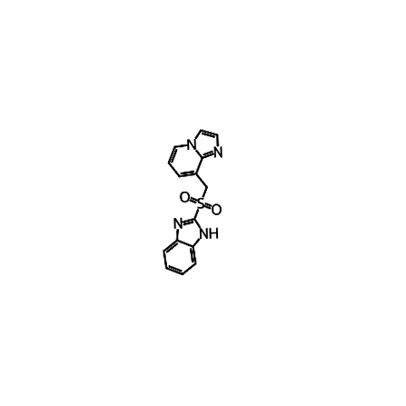 O=S(=O)(Cc1cccn2ccnc12)c1nc2ccccc2[nH]1